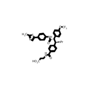 CCC[C@@H](c1ccc(C(=O)NCCC(=O)O)cc1)[C@H](C(=O)Nc1ccc(-c2cnc(C)s2)cc1)c1ccc(OC(F)(F)F)cc1